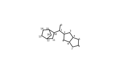 CC(C1CC2CCCC2C1)C1CC2CCC1C2